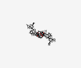 C#CCC[C@H](NC(=O)OC)C(=O)N1CCC[C@H]1c1nc2cc(-c3cc4ccc3CCc3ccc(c(-c5ccc6[nH]c([C@@H]7CCCN7C(=O)[C@H](CCC#N)NC(=O)OC)nc6c5)c3)CC4)ccc2[nH]1